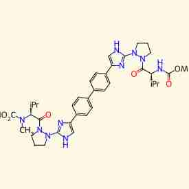 COC(=O)N[C@H](C(=O)N1CCCN1c1nc(-c2ccc(-c3ccc(-c4c[nH]c(N5CCCN5C(=O)[C@H](C(C)C)N(C)C(=O)O)n4)cc3)cc2)c[nH]1)C(C)C